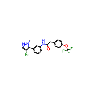 Cn1ncc(Br)c1-c1cccc(NC(=O)Cc2ccc(OC(F)(F)F)cc2)c1